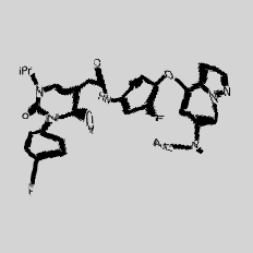 CC(=O)N(C)c1cc(Oc2ccc(NC(=O)c3cn(C(C)C)c(=O)n(-c4ccc(F)cc4)c3=O)cc2F)c2ccnn2c1